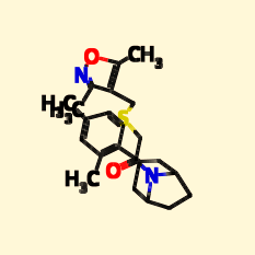 Cc1ccc(C2CC3CCC(C2)N3C(=O)CSCc2c(C)noc2C)c(C)c1